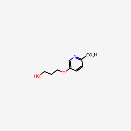 O=C(O)c1ccc(OCCCO)cn1